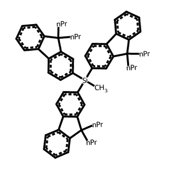 CCCC1(CCC)c2ccccc2-c2ccc([Si](C)(c3ccc4c(c3)C(CCC)(CCC)c3ccccc3-4)c3ccc4c(c3)C(CCC)(CCC)c3ccccc3-4)cc21